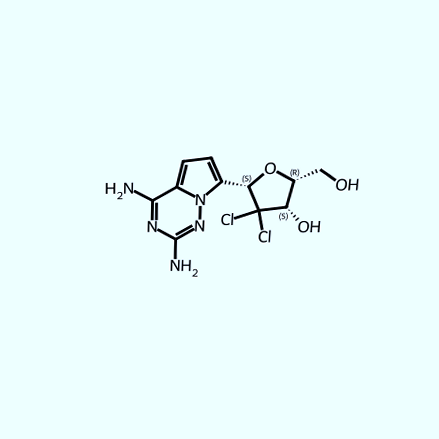 Nc1nc(N)c2ccc([C@@H]3O[C@H](CO)[C@H](O)C3(Cl)Cl)n2n1